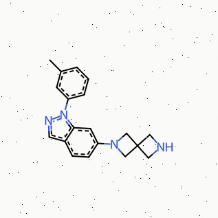 Cc1cccc(-n2ncc3ccc(N4CC5(CNC5)C4)cc32)c1